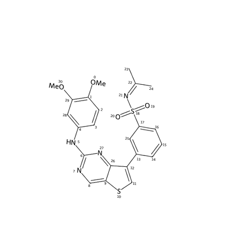 COc1ccc(Nc2ncc3scc(-c4cccc(S(=O)(=O)N=C(C)C)c4)c3n2)cc1OC